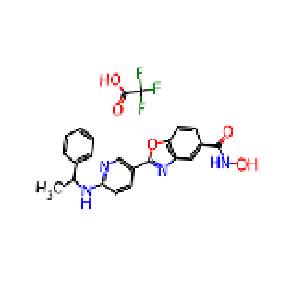 CC(Nc1ccc(-c2nc3cc(C(=O)NO)ccc3o2)cn1)c1ccccc1.O=C(O)C(F)(F)F